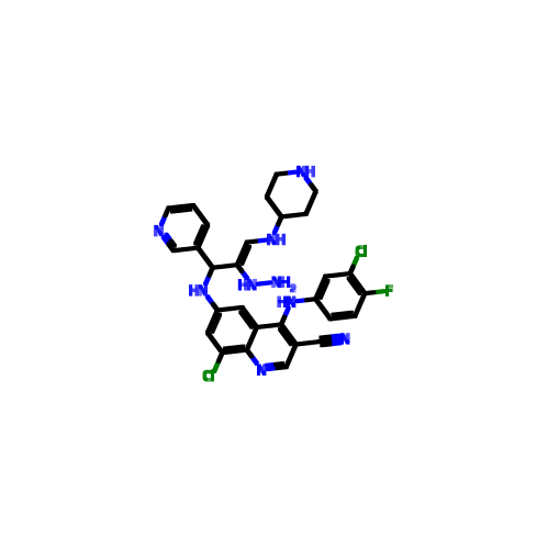 N#Cc1cnc2c(Cl)cc(NC(/C(=C/NC3CCNCC3)NN)c3cccnc3)cc2c1Nc1ccc(F)c(Cl)c1